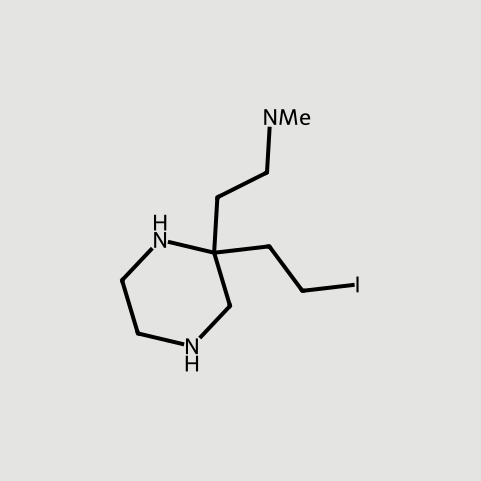 CNCCC1(CCI)CNCCN1